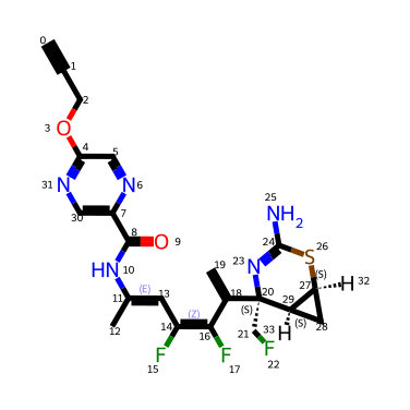 C#CCOc1cnc(C(=O)N/C(C)=C/C(F)=C(/F)C(=C)[C@@]2(CF)N=C(N)S[C@H]3C[C@H]32)cn1